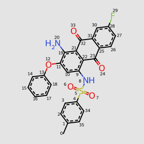 Cc1ccc(S(=O)(=O)Nc2cc(Oc3ccccc3)c(N)c3c2C(=O)c2ccc(F)cc2C3=O)cc1